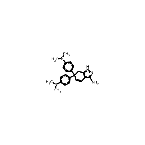 CN(C)c1ccc(C2(c3ccc(N(C)C)cc3)C=Cc3c(N)n[nH]c3C2)cc1